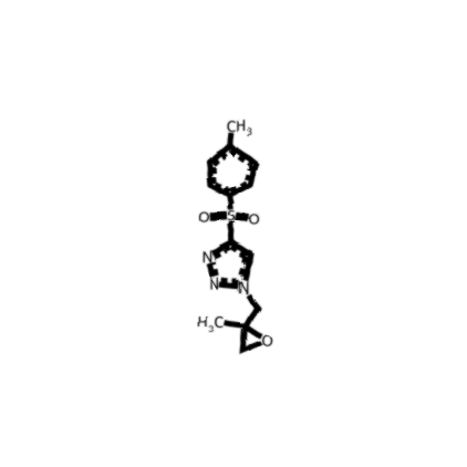 Cc1ccc(S(=O)(=O)c2cn(CC3(C)CO3)nn2)cc1